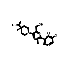 Cc1nc(N2CCC(C)(C(C)N)CC2)c(CO)nc1-c1cncc(Cl)c1Cl